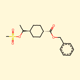 CC(OS(C)(=O)=O)[C@H]1CC[C@H](C(=O)OCc2ccccc2)CC1